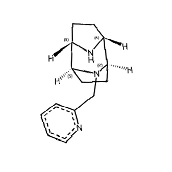 c1ccc(CN2[C@@H]3CC[C@H]2[C@@H]2CC[C@H]3N2)nc1